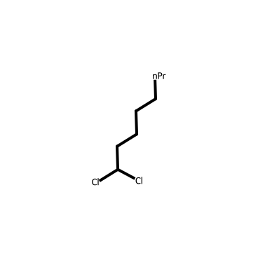 [CH2]CCCCCCC(Cl)Cl